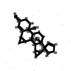 C[C@]12CCC3C(C4CC4C4=CC(=O)CC[C@@H]43)C1C1CC1[C@@]21C=CCO1